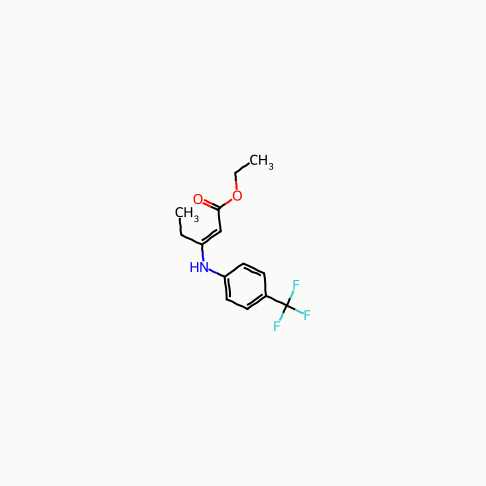 CCOC(=O)C=C(CC)Nc1ccc(C(F)(F)F)cc1